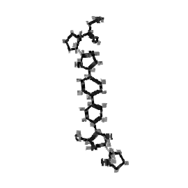 CC(C)CC(=O)N1CCC[C@H]1c1ncc(-c2ccc(-c3ccc(-c4[nH]c([C@@H]5CCCN5)nc4Cl)cc3)cc2)[nH]1